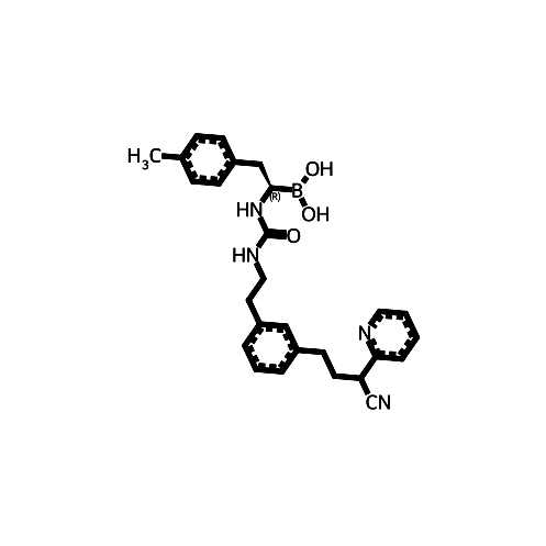 Cc1ccc(C[C@H](NC(=O)NCCc2cccc(CCC(C#N)c3ccccn3)c2)B(O)O)cc1